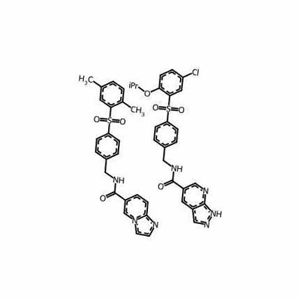 CC(C)Oc1ccc(Cl)cc1S(=O)(=O)c1ccc(CNC(=O)c2cnc3[nH]ncc3c2)cc1.Cc1ccc(C)c(S(=O)(=O)c2ccc(CNC(=O)c3ccc4nccn4c3)cc2)c1